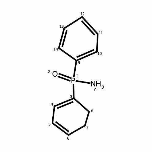 NP(=O)(C1=CC=CCC1)c1ccccc1